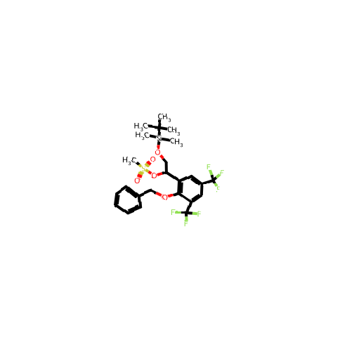 CC(C)(C)[Si](C)(C)OCC(OS(C)(=O)=O)c1cc(C(F)(F)F)cc(C(F)(F)F)c1OCc1ccccc1